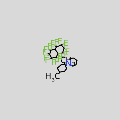 CC1CCC(C)(N2CCCCC2)CC1.FC1(F)C(F)(F)C(F)(F)C2(F)C(F)(F)C(F)(F)C(F)(F)C(F)(F)C2(F)C1(F)F